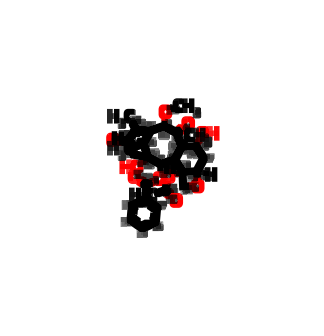 CO[C@H]1C(=O)[C@@]2(C)[C@H]([C@H](OC(=O)c3ccccc3)[C@]3(O)CC(=O)C(C)=C1C3(C)C)[C@]1(OC(C)=O)CO[C@@H]1C[C@@H]2O